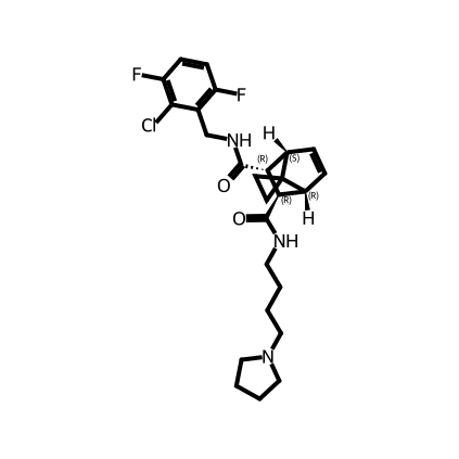 O=C(NCCCCN1CCCC1)[C@H]1[C@H](C(=O)NCc2c(F)ccc(F)c2Cl)[C@@H]2C=C[C@H]1C21CC1